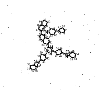 c1ccc(-c2ccc(-n3c4c5ccccc5ccc4c4ccc5cc(-c6nc(-c7ccc(-c8nc9ccccc9o8)cc7)nc(-c7ccc(-c8nc9ccccc9o8)cc7)n6)ccc5c43)cc2)cc1